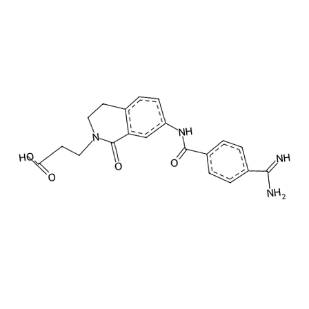 N=C(N)c1ccc(C(=O)Nc2ccc3c(c2)C(=O)N(CCC(=O)O)CC3)cc1